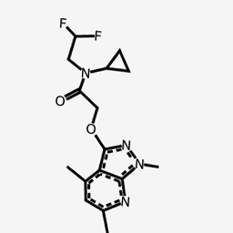 Cc1cc(C)c2c(OCC(=O)N(CC(F)F)C3CC3)nn(C)c2n1